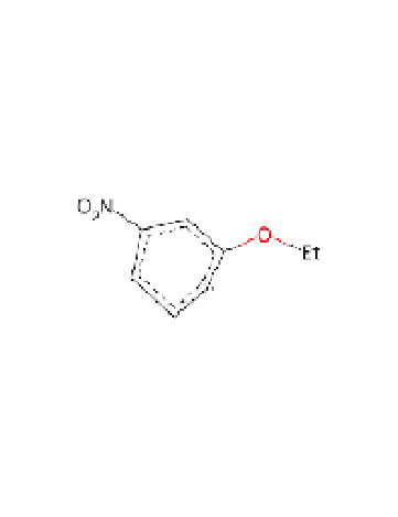 CCOc1[c]ccc([N+](=O)[O-])c1